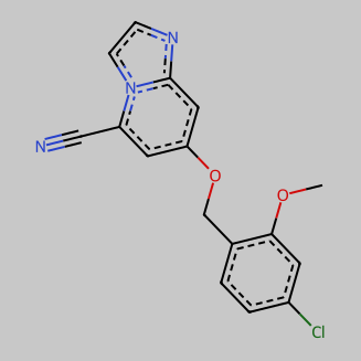 COc1cc(Cl)ccc1COc1cc(C#N)n2ccnc2c1